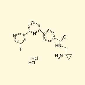 Cl.Cl.NC1(CNC(=O)c2ccc(-c3cncc(-c4cncc(F)c4)n3)cc2)CC1